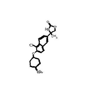 CC1(c2ccc3c(Cl)c(OC4CCC(C(C)(C)C)CC4)ccc3c2)COC(=O)N1